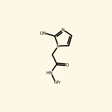 CCCNC(=O)Cn1ccnc1N=O